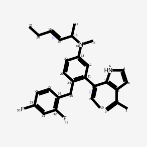 C=C(C)c1cc[nH]c1/C(=C\C)c1cc(N(C)C(C)/C=C/CC)ccc1Cc1ccc(F)cc1F